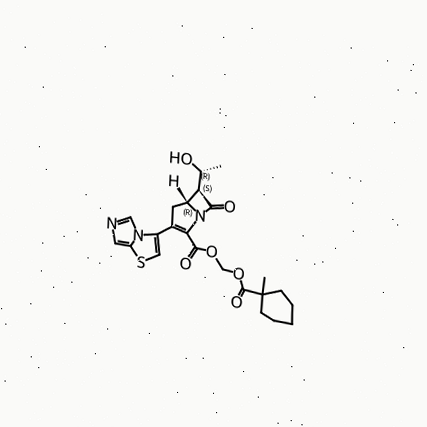 C[C@@H](O)[C@H]1C(=O)N2C(C(=O)OCOC(=O)C3(C)CCCCC3)=C(c3csc4cncn34)C[C@H]12